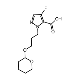 O=C(O)c1c(F)cnn1CCCOC1CCCCO1